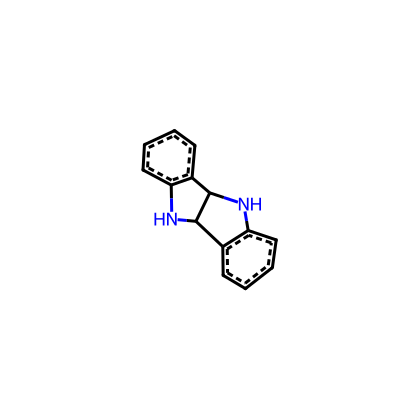 c1ccc2c(c1)NC1c3ccccc3NC21